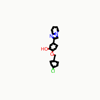 Oc1cc(-c2cn3ccccc3n2)ccc1OCc1ccc(Cl)cc1